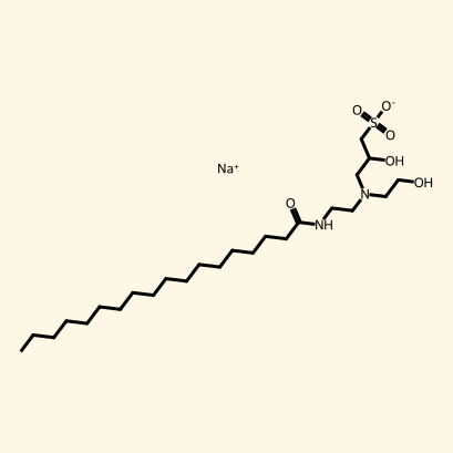 CCCCCCCCCCCCCCCCCC(=O)NCCN(CCO)CC(O)CS(=O)(=O)[O-].[Na+]